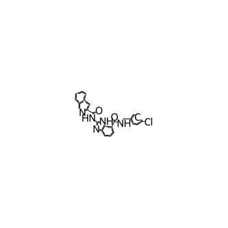 O=C(Nc1nc2cccc(C(=O)NCc3ccc(Cl)cc3)c2[nH]1)c1cc2ccccc2cn1